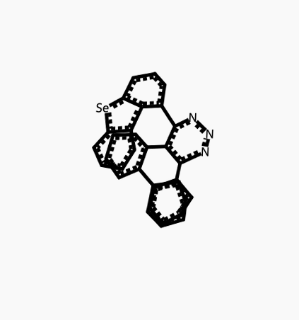 c1ccc(-c2ccccc2-c2c(-c3ccccc3)nnnc2-c2cccc3[se]c4ccccc4c23)cc1